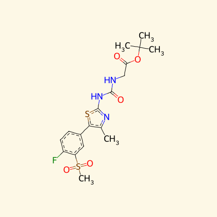 Cc1nc(NC(=O)NCC(=O)OC(C)(C)C)sc1-c1ccc(F)c(S(C)(=O)=O)c1